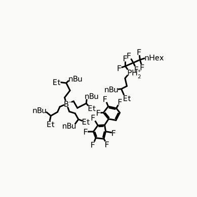 CCCCC(CC)CC[B-](CCC(CC)CCCC)(CCC(CC)CCCC)CCC(CC)CCCC.CCCCCCC(F)(F)C(F)(F)C(F)(F)[PH2+]CCC(CC)CCCC.Fc1ccc(-c2c(F)c(F)c(F)c(F)c2F)c(F)c1F